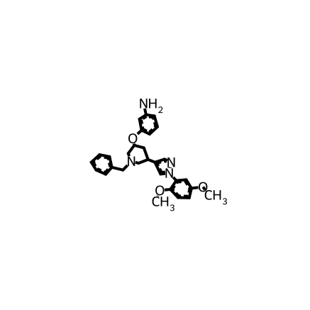 COc1ccc(OC)c(-n2cc(C3CC(Oc4cccc(N)c4)CN(Cc4ccccc4)C3)cn2)c1